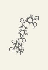 COc1cc(C(=O)N2CC3CN(C(=O)Cn4nc(C(F)(F)F)c(Cl)c4C)CC3C2)ccc1Cl